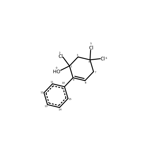 OC1(Cl)CC(Cl)(Cl)CC=C1c1ccccc1